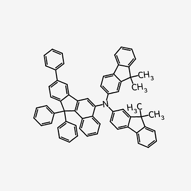 CC1(C)c2ccccc2-c2ccc(N(c3ccc4c(c3)C(C)(C)c3ccccc3-4)c3cc4c(c5ccccc35)C(c3ccccc3)(c3ccccc3)c3ccc(-c5ccccc5)cc3-4)cc21